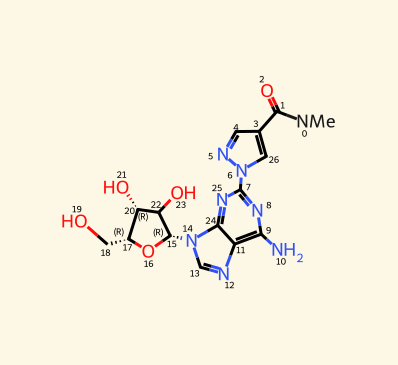 CNC(=O)c1cnn(-c2nc(N)c3ncn([C@@H]4O[C@H](CO)[C@H](O)C4O)c3n2)c1